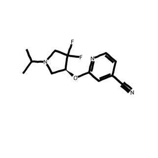 CC(C)N1C[C@H](Oc2cc(C#N)ccn2)C(F)(F)C1